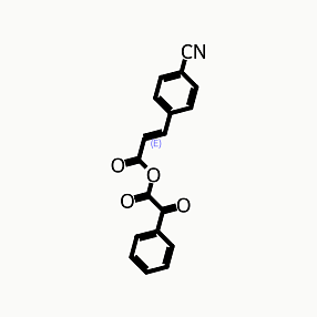 N#Cc1ccc(/C=C/C(=O)OC(=O)C(=O)c2ccccc2)cc1